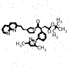 Cc1cc(C)n(-c2cccc([C@H](CC(=O)OC(C)(C)C)C(=O)N3CC[C@@H](CCc4ccc5cccnc5n4)C3)c2)n1